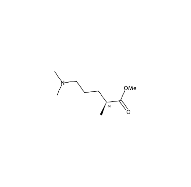 COC(=O)[C@@H](C)CCCN(C)C